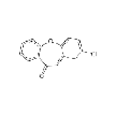 O=C1C=C2CC(Cl)=CC=C2Oc2ccccc21